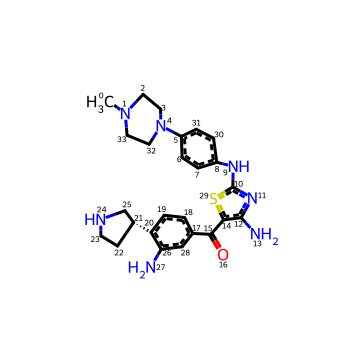 CN1CCN(c2ccc(Nc3nc(N)c(C(=O)c4ccc([C@@H]5CCNC5)c(N)c4)s3)cc2)CC1